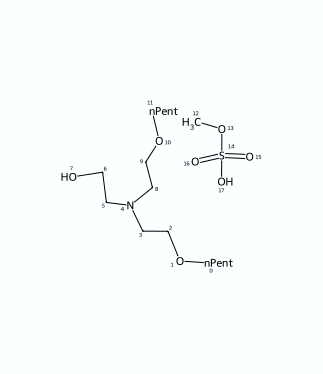 CCCCCOCCN(CCO)CCOCCCCC.COS(=O)(=O)O